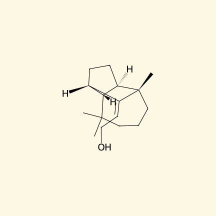 CC1(C)CCC[C@]2(C)/C(=C/CO)[C@H]3CC[C@@H]2[C@@H]31